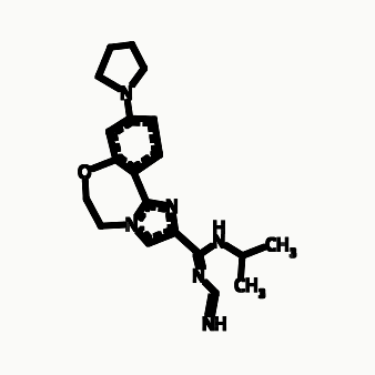 CC(C)N/C(=N\C=N)c1cn2c(n1)-c1ccc(N3CCCC3)cc1OCC2